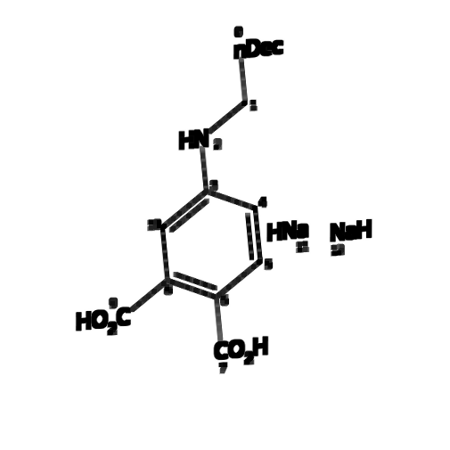 CCCCCCCCCCCNc1ccc(C(=O)O)c(C(=O)O)c1.[NaH].[NaH]